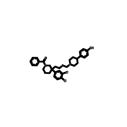 O=C(c1ccccc1)N1CCCC(CCSCN2CCC(c3ccc(O)cc3)CC2)(c2ccc(Cl)c(Cl)c2)C1